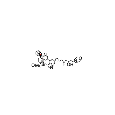 COc1ccc(CN2C3CC2CN(c2ccc(-c4cc(OCCC(F)CC(O)CCN5C6CCC5COC6)cn5ncc(Br)c45)cn2)C3)cn1